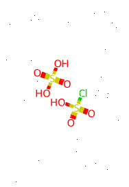 O=S(=O)(O)Cl.O=S(=O)(O)O